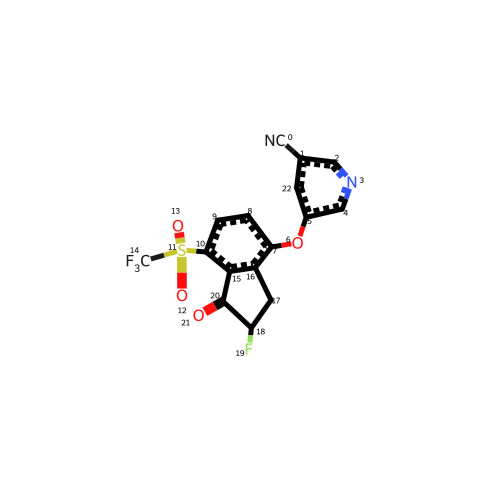 N#Cc1cncc(Oc2ccc(S(=O)(=O)C(F)(F)F)c3c2CC(F)C3=O)c1